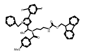 CSc1ccc(C(=O)N(CCCNC(=O)OCC2c3ccccc3-c3ccccc32)C(c2cc(-c3cc(F)ccc3F)cn2Cc2ccccc2)C(C)(C)C)cc1